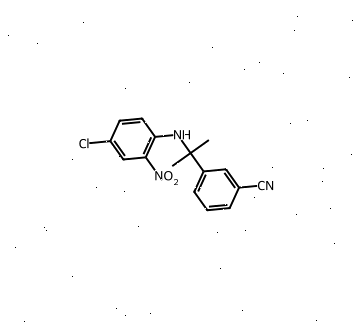 CC(C)(Nc1ccc(Cl)cc1[N+](=O)[O-])c1cccc(C#N)c1